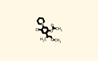 C=C(COC)c1cc(Cl)c(N2CCCCC2)cc1OC(C)=O